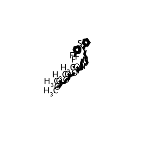 COCC(COCC(COCC(CN1CCN(CCCN2c3ccccc3Sc3ccc(C(F)(F)F)cc32)CC1)OC)OC)OC